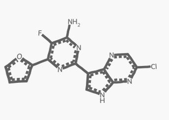 Nc1nc(-c2c[nH]c3nc(Cl)cnc23)nc(-c2ccco2)c1F